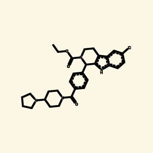 CCOC(=O)N1CCc2c([nH]c3ccc(Cl)cc23)C1c1ccc(C(=O)N2CCC(N3CCCC3)CC2)cc1